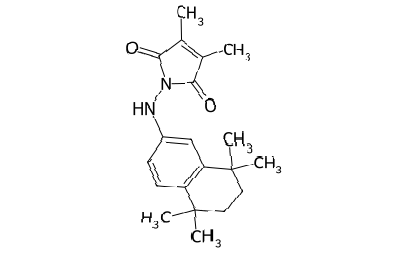 CC1=C(C)C(=O)N(Nc2ccc3c(c2)C(C)(C)CCC3(C)C)C1=O